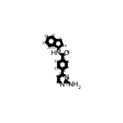 Nc1nccc(-c2ccc(C(=O)NC3CCc4ccccc43)cc2)n1